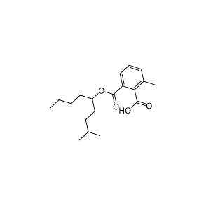 CCCCC(CCC(C)C)OC(=O)c1cccc(C)c1C(=O)O